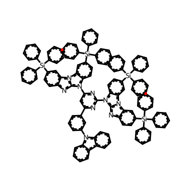 c1ccc([Si](c2ccccc2)(c2ccccc2)c2ccc3nc4n(-c5cc(-c6cccc(-n7c8ccccc8c8ccccc87)c6)nc(-n6c7ccc([Si](c8ccccc8)(c8ccccc8)c8ccccc8)cc7n7c8cc([Si](c9ccccc9)(c9ccccc9)c9ccccc9)ccc8nc67)n5)c5ccc([Si](c6ccccc6)(c6ccccc6)c6ccccc6)cc5n4c3c2)cc1